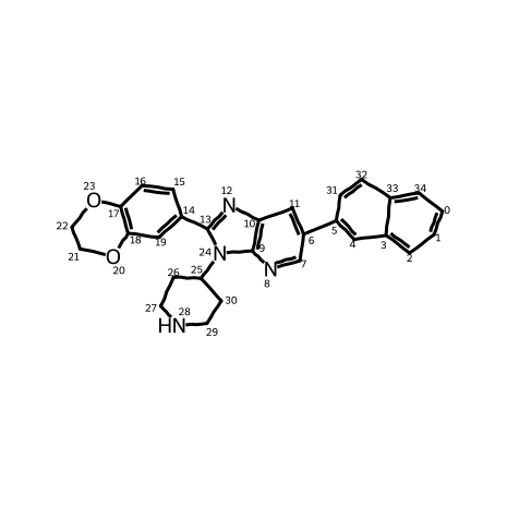 c1ccc2cc(-c3cnc4c(c3)nc(-c3ccc5c(c3)OCCO5)n4C3CCNCC3)ccc2c1